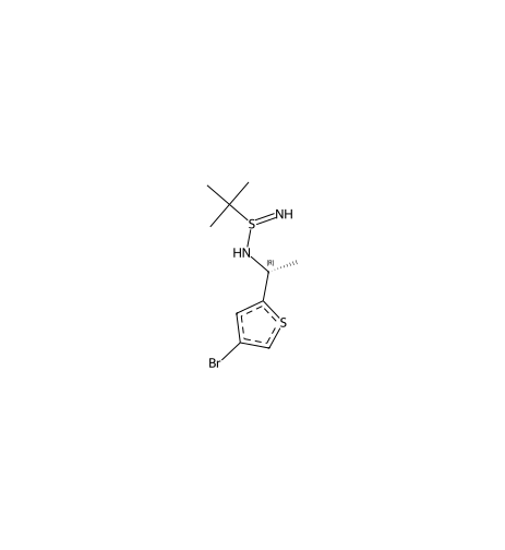 C[C@@H](NS(=N)C(C)(C)C)c1cc(Br)cs1